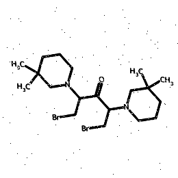 CC1(C)CCCN(C(CBr)C(=O)C(CBr)N2CCCC(C)(C)C2)C1